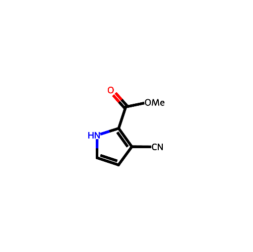 COC(=O)c1[nH]ccc1C#N